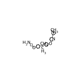 Cn1cc(-c2ccc(Oc3ccc(C(C)(C)c4ccc(OC5CC(N)C5)cc4)cc3)cn2)cn1